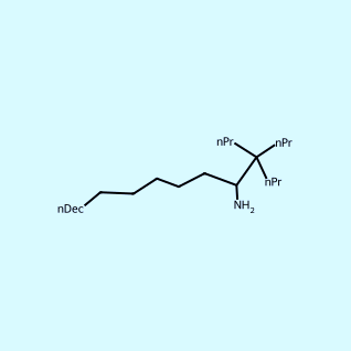 CCCCCCCCCCCCCCCC(N)C(CCC)(CCC)CCC